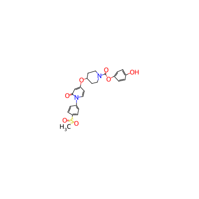 CS(=O)(=O)c1ccc(-n2ccc(OC3CCN(C(=O)Oc4ccc(O)cc4)CC3)cc2=O)cc1